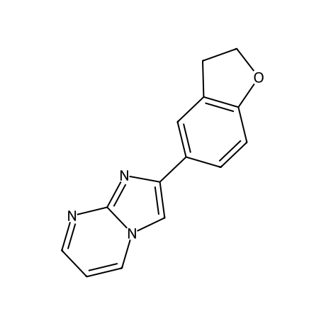 c1cnc2nc(-c3ccc4c(c3)CCO4)cn2c1